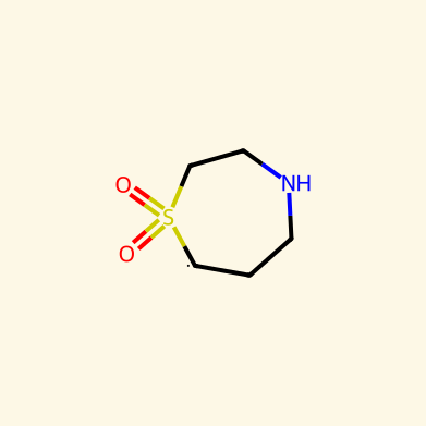 O=S1(=O)[CH]CCNCC1